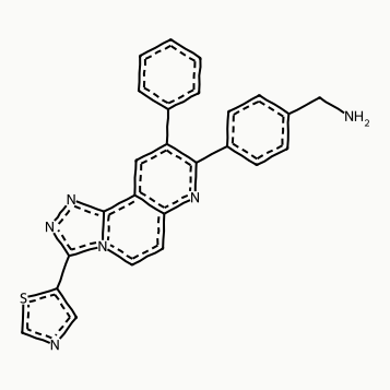 NCc1ccc(-c2nc3ccn4c(-c5cncs5)nnc4c3cc2-c2ccccc2)cc1